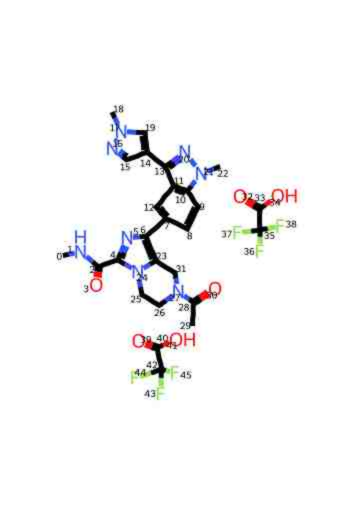 CNC(=O)c1nc(-c2ccc3c(c2)c(-c2cnn(C)c2)nn3C)c2n1CCN(C(C)=O)C2.O=C(O)C(F)(F)F.O=C(O)C(F)(F)F